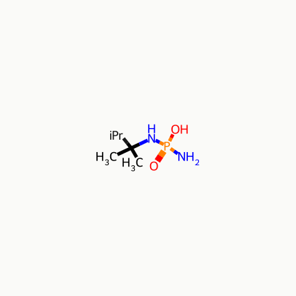 CC(C)C(C)(C)NP(N)(=O)O